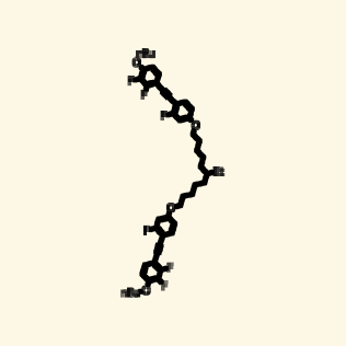 CCCCOc1ccc(C#Cc2ccc(OCCCCCC(CC)CCCCCOc3ccc(C#Cc4ccc(OCCCC)c(F)c4F)c(F)c3)cc2F)c(F)c1F